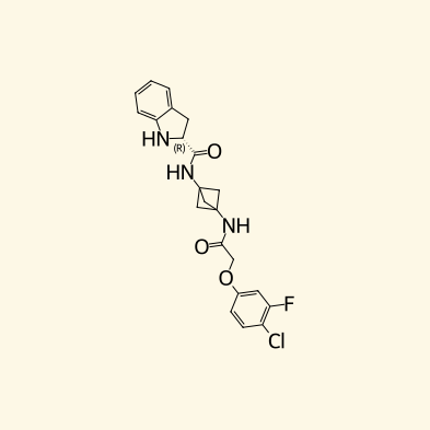 O=C(COc1ccc(Cl)c(F)c1)NC12CC(NC(=O)[C@H]3Cc4ccccc4N3)(C1)C2